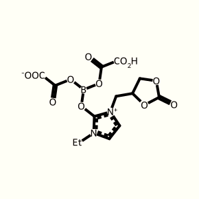 CCn1cc[n+](CC2COC(=O)O2)c1OB(OC(=O)C(=O)[O-])OC(=O)C(=O)O